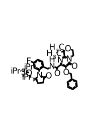 CC(C)[Si](OC[C@H]1CCC(=O)N1c1cc(F)ccc1CNC(=O)c1nc2n(c(=O)c1OCc1ccccc1)CCOC2(C)C)(C(C)C)C(C)C